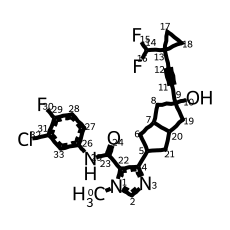 Cn1cnc(C2CC3CC(O)(C#CC4(C(F)F)CC4)CC3C2)c1C(=O)Nc1ccc(F)c(Cl)c1